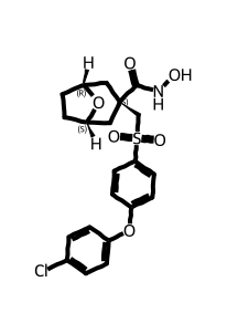 O=C(NO)[C@@]1(CS(=O)(=O)c2ccc(Oc3ccc(Cl)cc3)cc2)C[C@H]2CC[C@@H](C1)O2